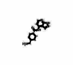 NC[C@H]1CC[C@H](C(=O)Nc2ccnc3[nH]ncc23)CC1